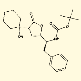 CC(C)(C)OC(=O)N[C@@H](Cc1ccccc1)[C@@H]1C[C@H](C2(O)CCCCC2)C(=O)O1